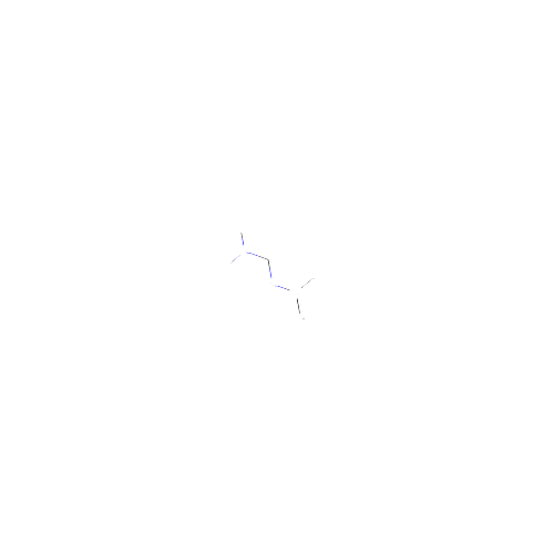 CCCC[SiH](NCN(CC)CC)C(C)C